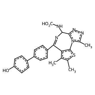 Cc1sc2c(c1C)C(c1ccc(-c3ccc(O)cc3)cc1)=NC(NC(=O)O)c1nnc(C)n1-2